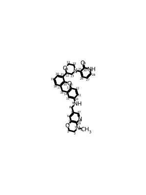 CN1CCOc2cc(CNc3ccc4c(c3)Cc3cccc(C5CN(c6ccc[nH]c6=O)CCO5)c3O4)cnc21